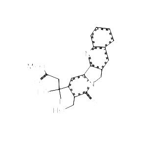 CCC(O)(CC(=O)OC)c1cc2n(c(=O)c1CO)Cc1cc3ccccc3nc1-2